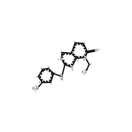 O=c1ccc2cnc(Nc3cccc([N+](=O)[O-])c3)nc2n1CC(F)(F)F